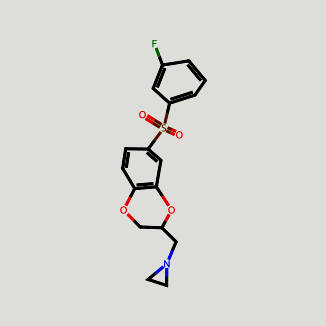 O=S(=O)(c1cccc(F)c1)c1ccc2c(c1)OC(CN1CC1)CO2